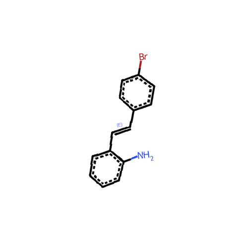 Nc1ccccc1/C=C/c1ccc(Br)cc1